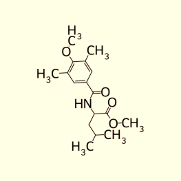 COC(=O)C(CC(C)C)NC(=O)c1cc(C)c(OC)c(C)c1